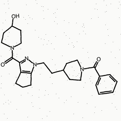 O=C(c1ccccc1)N1CCC(CCn2nc(C(=O)N3CCC(O)CC3)c3c2CCC3)CC1